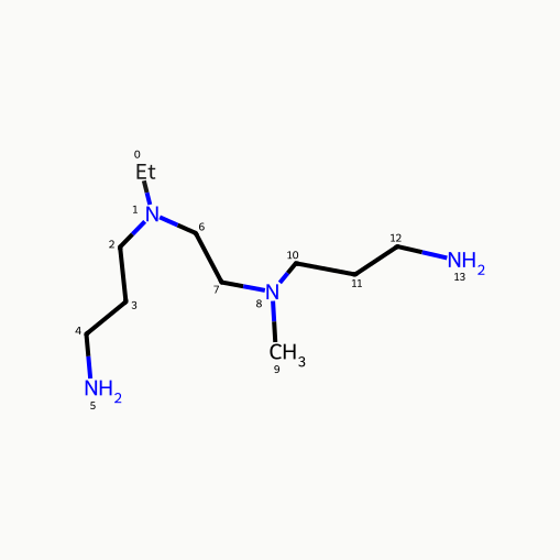 CCN(CCCN)CCN(C)CCCN